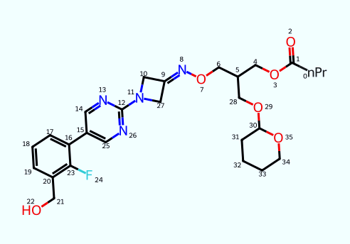 CCCC(=O)OCC(CON=C1CN(c2ncc(-c3cccc(CO)c3F)cn2)C1)COC1CCCCO1